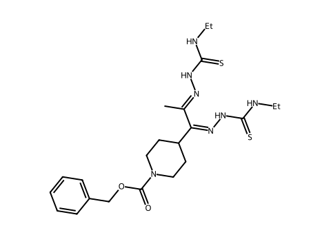 CCNC(=S)N/N=C(\C(C)=N\NC(=S)NCC)C1CCN(C(=O)OCc2ccccc2)CC1